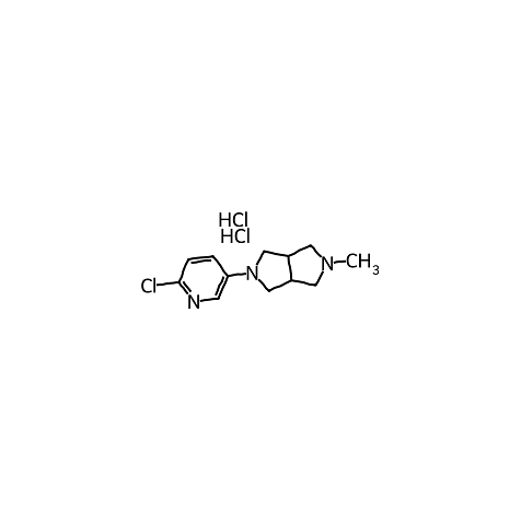 CN1CC2CN(c3ccc(Cl)nc3)CC2C1.Cl.Cl